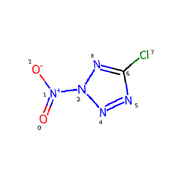 O=[N+]([O-])n1nnc(Cl)n1